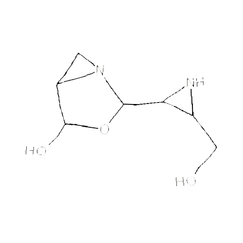 OCC1NC1C1OC(O)C2CN21